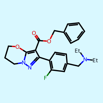 CCN(CC)Cc1ccc(-c2nn3c(c2C(=O)OCc2ccccc2)OCCC3)c(F)c1